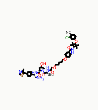 Cc1ncsc1-c1ccc([C@@H](CN)NC(=O)[C@@H]2C[C@@H](O)CN2C(=O)[C@@H](NC(=O)COCCCCCOc2ccc(C(=O)N[C@H]3C(C)(C)[C@H](Oc4ccc(C#N)c(Cl)c4)C3(C)C)cc2)C(C)(C)C)cc1